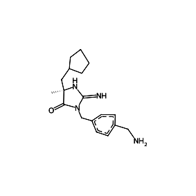 C[C@]1(CC2CCCC2)NC(=N)N(Cc2ccc(CN)cc2)C1=O